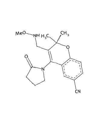 CONCC1=C(N2CCCC2=O)c2cc(C#N)ccc2OC1(C)C